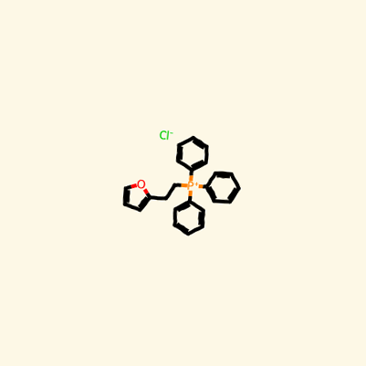 [Cl-].c1ccc([P+](CCc2ccco2)(c2ccccc2)c2ccccc2)cc1